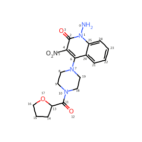 Nn1c(=O)c([N+](=O)[O-])c(N2CCN(C(=O)C3CCCO3)CC2)c2ccccc21